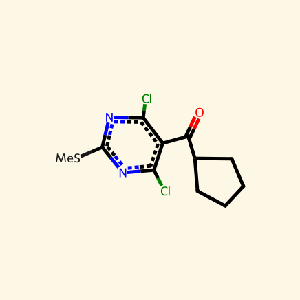 CSc1nc(Cl)c(C(=O)C2CCCC2)c(Cl)n1